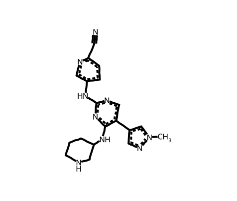 Cn1cc(-c2cnc(Nc3ccc(C#N)nc3)nc2NC2CCCNC2)cn1